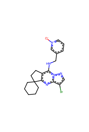 [O-][n+]1cccc(CNc2c3c(nc4c(Br)cnn24)C2(CCCCC2)CC3)c1